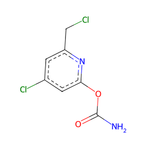 NC(=O)Oc1cc(Cl)cc(CCl)n1